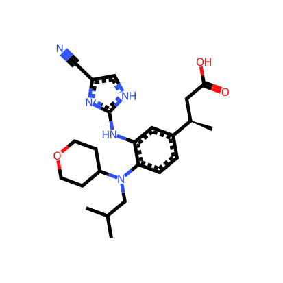 CC(C)CN(c1ccc([C@H](C)CC(=O)O)cc1Nc1nc(C#N)c[nH]1)C1CCOCC1